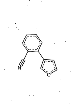 N#Cc1ccccc1-c1ccoc1